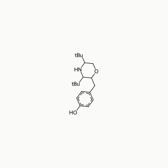 CC(C)(C)C1COC(Cc2ccc(O)cc2)C(C(C)(C)C)N1